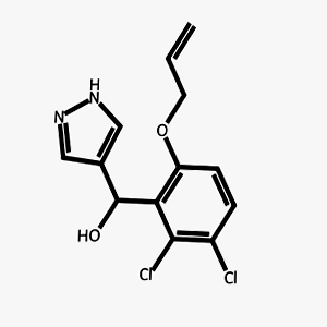 C=CCOc1ccc(Cl)c(Cl)c1C(O)c1cn[nH]c1